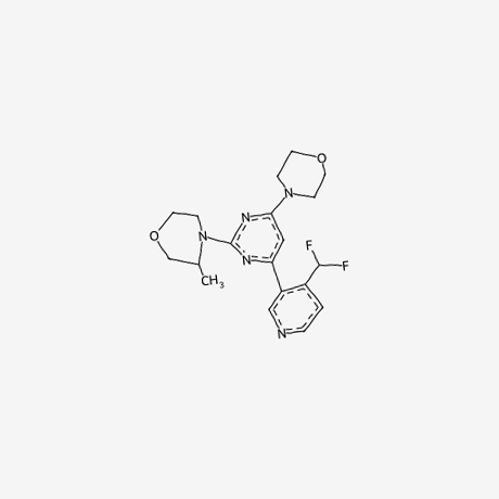 CC1COCCN1c1nc(-c2cnccc2C(F)F)cc(N2CCOCC2)n1